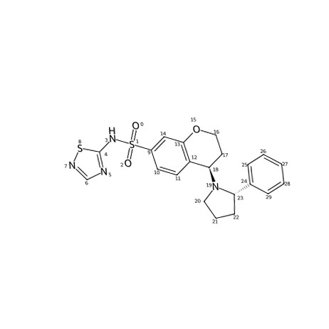 O=S(=O)(Nc1ncns1)c1ccc2c(c1)OCC[C@H]2N1CCC[C@H]1c1ccccc1